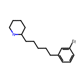 CCc1cccc(CCCCCC2CCCC[N]2)c1